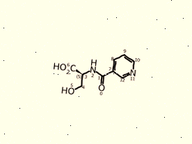 O=C(N[C@@H](CO)C(=O)O)c1cccnc1